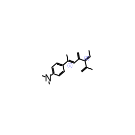 C=C(C)/C(=C/C)C(=C)/C=C(\C)c1ccc(N(C)C)cc1